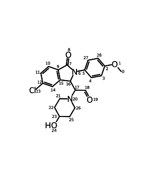 COc1ccc(N2C(=O)c3ccc(Cl)cc3C2C(C=O)N2CCC(O)CC2)cc1